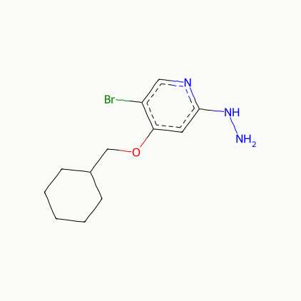 NNc1cc(OCC2CCCCC2)c(Br)cn1